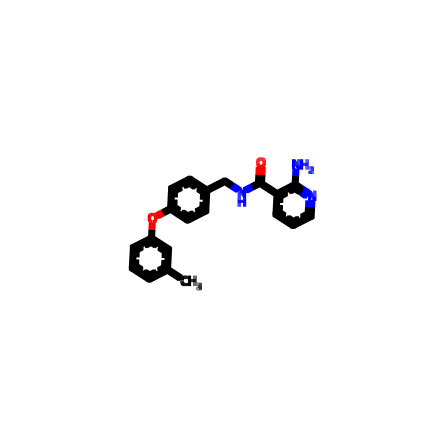 Cc1cccc(Oc2ccc(CNC(=O)c3cccnc3N)cc2)c1